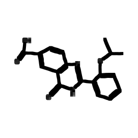 CC(C)Oc1ccccc1-c1nc2ccc(C(=O)O)cc2c(=O)[nH]1